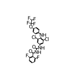 O=C(NC(=O)c1c(F)cccc1F)Nc1cc(Cl)c(Nc2ccc(OC(F)(F)C(F)F)cc2)c(Cl)c1